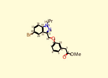 COC(=O)Cc1cccc(OCc2nn(C(C)C)c3ccc(Br)cc23)c1